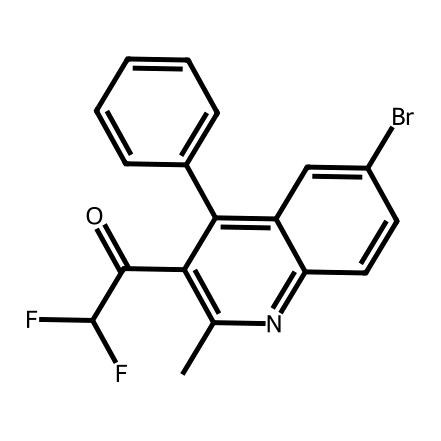 Cc1nc2ccc(Br)cc2c(-c2ccccc2)c1C(=O)C(F)F